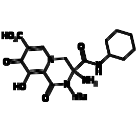 CCCCN1C(=O)c2c(O)c(=O)c(C(=O)O)cn2CC1(N)C(=O)NC1CCCCC1